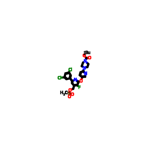 CC(C)(C)OC(=O)N1CCN(c2ccc(Oc3nc(-c4cc(Cl)cc(Cl)c4)cc(COS(C)(=O)=O)c3F)cn2)CC1